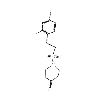 Cc1cc(C(=O)O)ccc1CCS(=O)(=O)N1CCC(=O)CC1